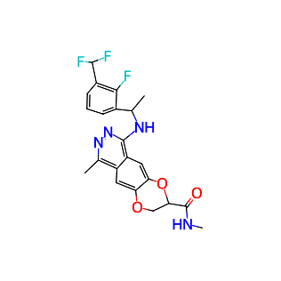 CNC(=O)C1COc2cc3c(C)nnc(NC(C)c4cccc(C(F)F)c4F)c3cc2O1